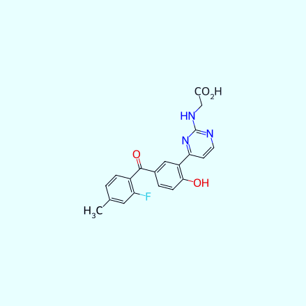 Cc1ccc(C(=O)c2ccc(O)c(-c3ccnc(NCC(=O)O)n3)c2)c(F)c1